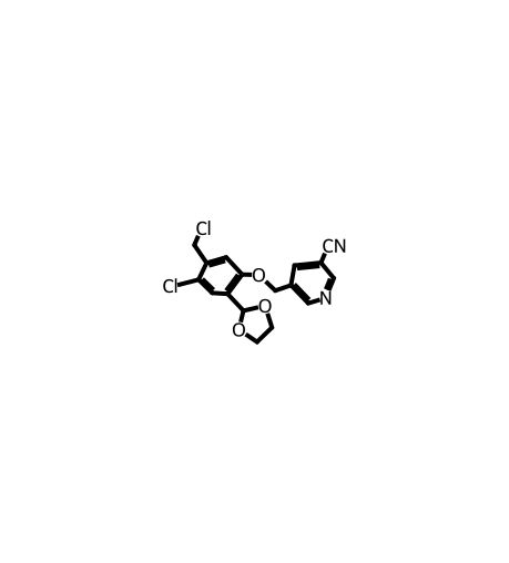 N#Cc1cncc(COc2cc(CCl)c(Cl)cc2C2OCCO2)c1